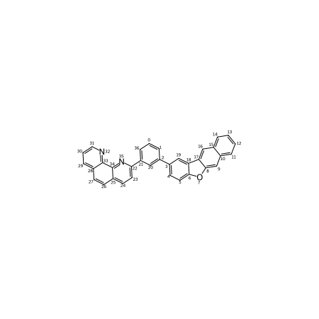 c1cc(-c2ccc3oc4cc5ccccc5cc4c3c2)cc(-c2ccc3ccc4cccnc4c3n2)c1